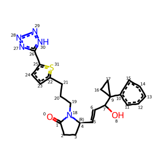 O=C1CC[C@H](C=CC(O)C2(c3ccccc3)CC2)N1CCCc1ccc(-c2nnn[nH]2)s1